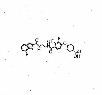 O=C(NCCNC(=O)c1ccc(O[C@H]2CC[C@@H](C(=O)O)CC2)c(F)c1F)c1cc2cccc(F)c2s1